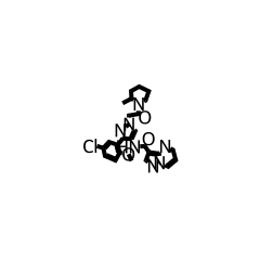 COc1ccc(Cl)cc1-c1nn(CC(=O)N2CCCCC2C)cc1NC(=O)c1cnn2cccnc12